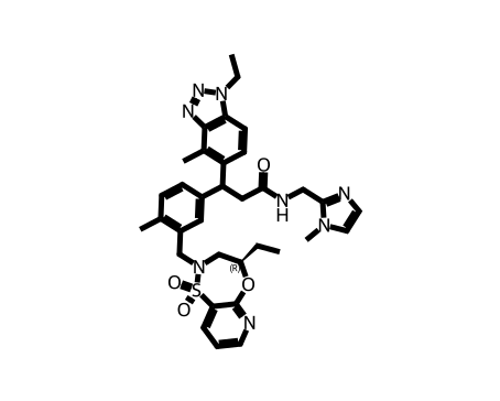 CC[C@@H]1CN(Cc2cc(C(CC(=O)NCc3nccn3C)c3ccc4c(nnn4CC)c3C)ccc2C)S(=O)(=O)c2cccnc2O1